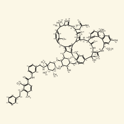 Cc1ccc(C(=O)Nc2cccc(CNC3(C)C[C@H](O[C@H]4C(Oc5c6cc7cc5Oc5ccc(cc5Cl)[C@@H](O)[C@H]5NC(=O)[C@@H](NC(=O)C7NC(=O)[C@H](CC(N)=O)NC(=O)[C@H](N)[C@H](O)c7ccc(c(Cl)c7)O6)c6ccc(O)c(c6)-c6c(O)cc(O)cc6[C@H](C(=O)O)NC5=O)O[C@@H](CO)[C@@H](O)[C@H]4O)O[C@H](C)[C@@H]3O)c2)c([N+](=O)[O-])c1OCc1ccccc1